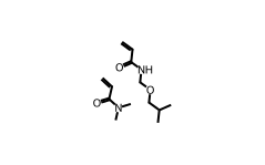 C=CC(=O)N(C)C.C=CC(=O)NCOCC(C)C